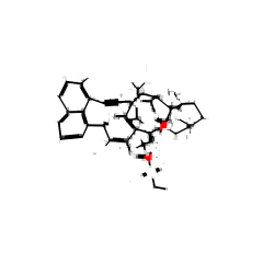 CCS(=O)(=O)c1nc2c3c(nc(-c4cccc5ccc(F)c(C#C[Si](C(C)C)(C(C)C)C(C)C)c45)c(F)c3n1)[C@H](C)CC[C@@H]1[C@@H]3CC[C@H](CN21)N3C(=O)OC(C)(C)C